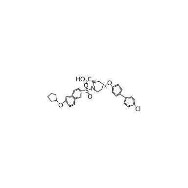 O=C(O)[C@H]1C[C@H](Oc2ccc(-c3ccc(Cl)cc3)cc2)CCN1S(=O)(=O)c1ccc2cc(OC3CCCC3)ccc2c1